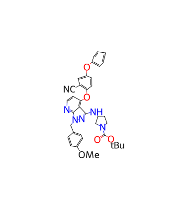 COc1ccc(Cn2nc(NC3CCN(C(=O)OC(C)(C)C)C3)c3c(Oc4ccc(Oc5ccccc5)cc4C#N)ccnc32)cc1